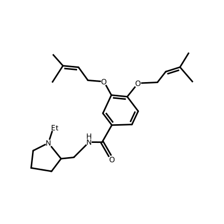 CCN1CCCC1CNC(=O)c1ccc(OCC=C(C)C)c(OCC=C(C)C)c1